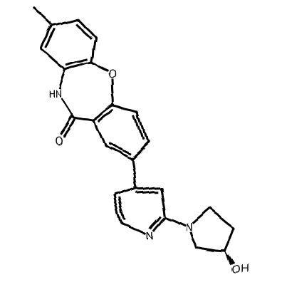 Cc1ccc2c(c1)NC(=O)c1cc(-c3ccnc(N4CC[C@@H](O)C4)c3)ccc1O2